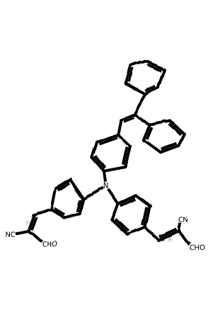 N#C/C(C=O)=C/c1ccc(N(c2ccc(C=C(c3ccccc3)c3ccccc3)cc2)c2ccc(/C=C(\C#N)C=O)cc2)cc1